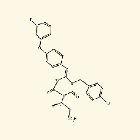 C[C@H](CC(=O)O)n1c(=O)[nH]/c(=N\c2ccc(Oc3cccc(F)n3)cc2)n(Cc2ccc(Cl)cc2)c1=O